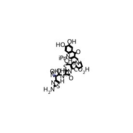 CC(C)n1cc(C[N+]2(CC3=C(C(=O)O)N4C(=O)[C@@H](NC(=O)/C(=N\O)c5csc(N)n5)[C@H]4S[C@H]3C)CCCC2)c(=O)c2cc(O)c(O)cc21